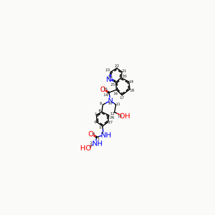 O=C(NO)Nc1ccc(CN(CCO)C(=O)c2cccc3cccnc23)cc1